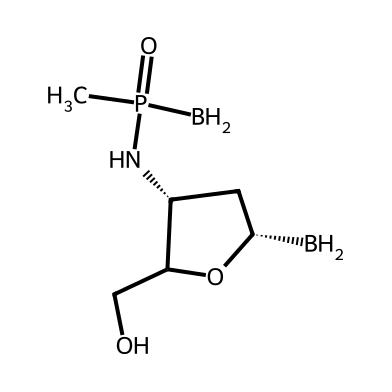 B[C@H]1C[C@@H](NP(B)(C)=O)C(CO)O1